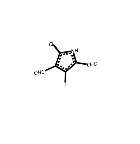 O=Cc1[nH]c(Cl)c(C=O)c1I